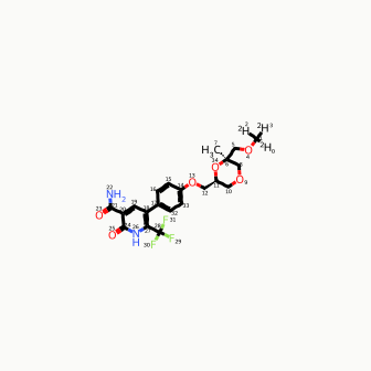 [2H]C([2H])([2H])OC[C@@]1(C)COC[C@@H](COc2ccc(-c3cc(C(N)=O)c(=O)[nH]c3C(F)(F)F)cc2)O1